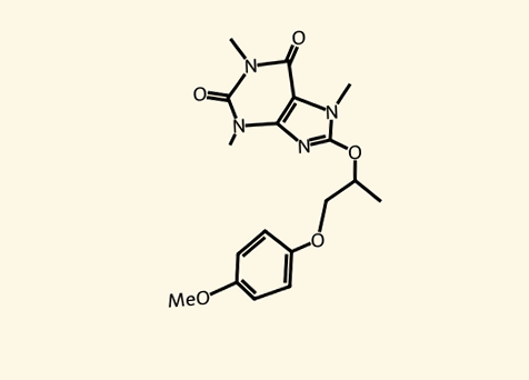 COc1ccc(OCC(C)Oc2nc3c(c(=O)n(C)c(=O)n3C)n2C)cc1